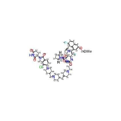 C#Cc1c(F)ccc2cc(OCOC)cc(-c3ncc4c(N5C[C@H]6CC[C@@H](C5)N6C(=O)OC(C)(C)C)nc(OCCN5CCC(CC6CCN(CC7CCN(c8ccc9c(c8Cl)CN(C8CCC(=O)NC8=O)C9=O)CC7)CC6)CC5)nc4c3F)c12